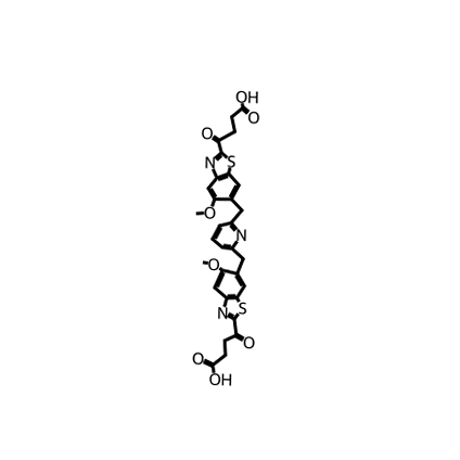 COc1cc2nc(C(=O)CCC(=O)O)sc2cc1Cc1cccc(Cc2cc3sc(C(=O)CCC(=O)O)nc3cc2OC)n1